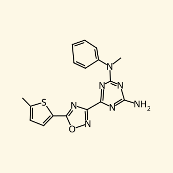 Cc1ccc(-c2nc(-c3nc(N)nc(N(C)c4ccccc4)n3)no2)s1